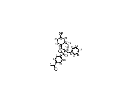 CC(=O)c1ccc(S(=O)(=O)[N+]2(Cc3ccccc3)CCC3CC(=O)CCC3C2)cc1